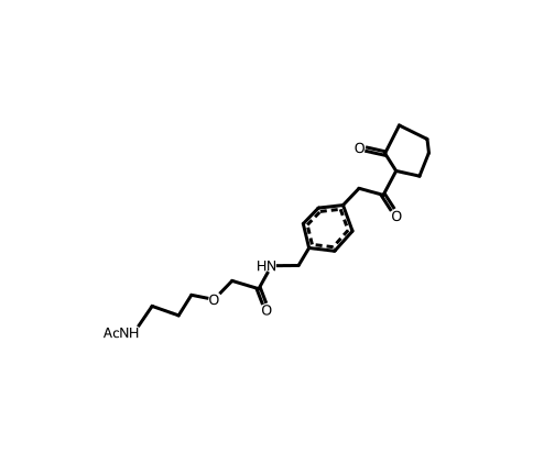 CC(=O)NCCCOCC(=O)NCc1ccc(CC(=O)C2CCCCC2=O)cc1